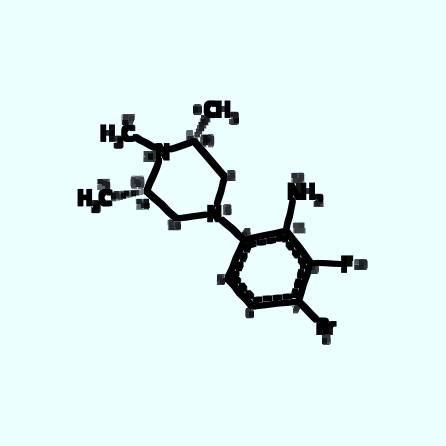 C[C@@H]1CN(c2ccc(Br)c(F)c2N)C[C@H](C)N1C